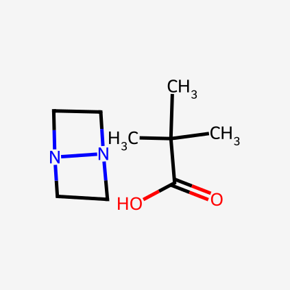 C1CN2CCN12.CC(C)(C)C(=O)O